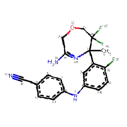 CC1(c2cc(Nc3ccc(C#N)cc3)ccc2F)N=C(N)COCC1(F)F